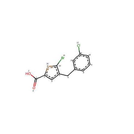 O=C(O)c1cc(Cc2cccc(Cl)c2)c(Br)s1